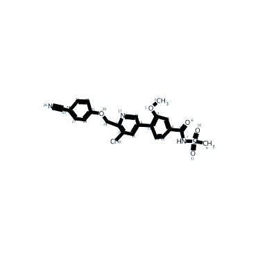 COc1cc(C(=O)NS(C)(=O)=O)ccc1-c1cnc(COc2ccc(C#N)cc2)c(Cl)c1